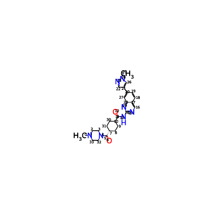 CN1CCN(C(=O)[C@H]2CC[C@H](C(=O)Nc3ncc4ccc(-c5cnn(C)c5)cc4n3)CC2)CC1